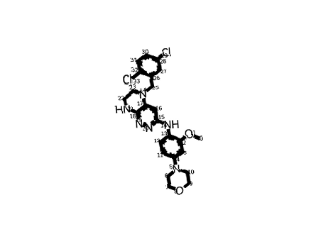 COc1cc(N2CCOCC2)ccc1Nc1cc2c(nn1)NCCN2Cc1cc(Cl)ccc1Cl